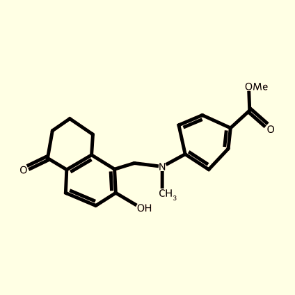 COC(=O)c1ccc(N(C)Cc2c(O)ccc3c2CCCC3=O)cc1